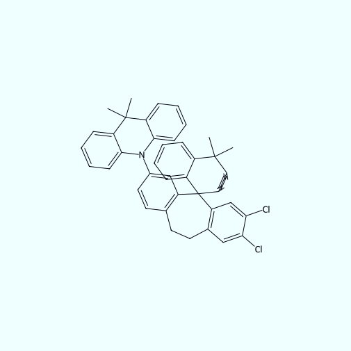 CC1(C)c2ccccc2N(c2ccc3c(c2)C2(c4cc(Cl)c(Cl)cc4CC3)c3ccccc3C(C)(C)c3ccccc32)c2ccccc21